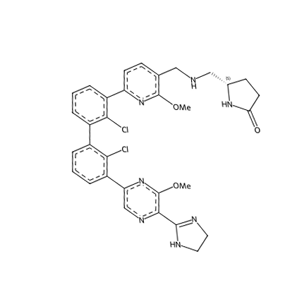 COc1nc(-c2cccc(-c3cccc(-c4cnc(C5=NCCN5)c(OC)n4)c3Cl)c2Cl)ccc1CNC[C@@H]1CCC(=O)N1